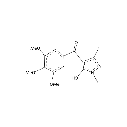 COc1cc(C(=O)c2c(C)nn(C)c2O)cc(OC)c1OC